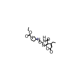 CCOC(=O)N1CC/C(=N\Oc2nc3oc(=O)cc(CC)c3c(=O)[nH]2)C1